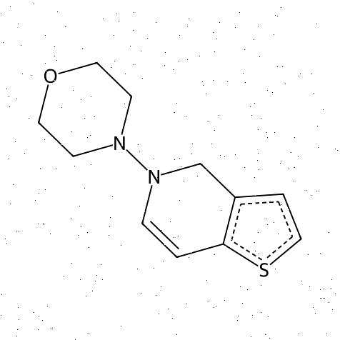 C1=CN(N2CCOCC2)Cc2ccsc21